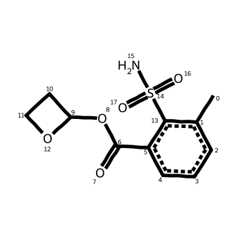 Cc1cccc(C(=O)OC2CCO2)c1S(N)(=O)=O